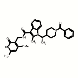 COc1cc(C)[nH]c(=O)c1CNC(=O)c1c(C)n([C@H](C)C2CCN(C(=O)c3ccccc3)CC2)c2ccccc12